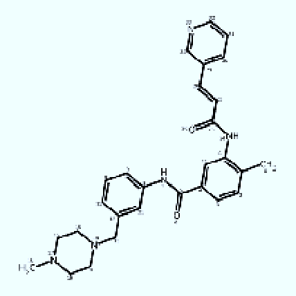 Cc1ccc(C(=O)Nc2cccc(CN3CCN(C)CC3)c2)cc1NC(=O)C=Cc1cccnc1